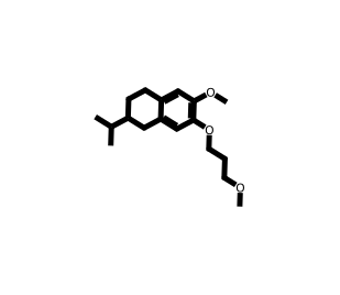 COCCCOc1cc2c(cc1OC)CCC(C(C)C)C2